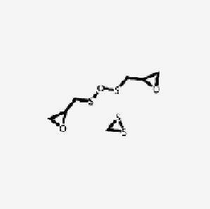 C1OC1CSOSCC1CO1.C1SS1